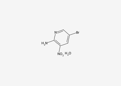 Nc1ncc(Br)cc1[N+](=O)[O-].O